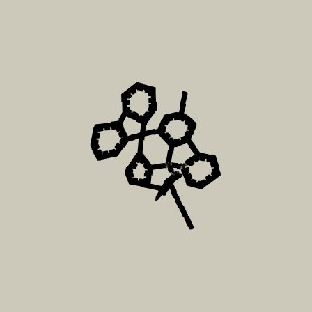 Cc1cc2c3c(c1)C1(c4ccccc4-c4ccccc41)c1cccc4c1[N+]3([n+]1ccccc1-2)[n+]1ccc(C)cc1-4